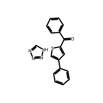 O=C(c1ccccc1)c1cc(-c2ccccc2)cs1.c1nnn[nH]1